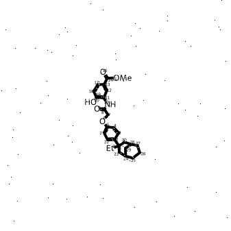 CCC1(c2ccc(OCC(=O)Nc3cc(C(=O)OC)ccc3O)cc2)CC2CCCC(C2)C1